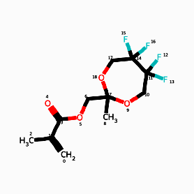 C=C(C)C(=O)OCC1(C)OCC(F)(F)C(F)(F)CO1